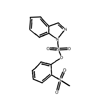 CS(=O)(=O)c1ccccc1OS(=O)(=O)n1ncc2c[c]ccc21